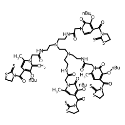 C=C1C(OCCCC)=C(C(=O)N2CCSC2=S)C=C(C)N1CC(=O)NCCN(CCNC(=O)Cn1ccc(C(=O)N2CCSC2=S)c(OCCCC)c1=O)CCN(CCNC(=O)Cn1c(C)cc(C(=O)N2CCSC2=S)c(OCCCC)c1=O)CCNC(=O)Cn1c(C)cc(C(=O)N2CCSC2=S)c(OCCCC)c1=O